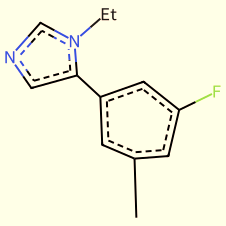 CCn1cncc1-c1cc(C)cc(F)c1